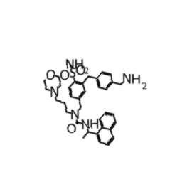 CC(NC(=O)N(CCCN1CCOCC1)Cc1ccc(S(N)(=O)=O)c(Cc2ccc(CN)cc2)c1)c1cccc2ccccc12